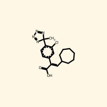 CC1(c2ccc(/C(=C\C3CCCCCC3)C(=O)O)cc2Cl)N=NN=N1